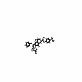 O=C1CN(c2c(OCc3ccccc3)cc3c(c2F)CN(C(=O)Oc2ccc([N+](=O)[O-])cc2)CC3(F)F)S(=O)(=O)N1